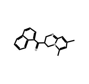 CC1=CC2=NCC(C(=O)c3cccc4ccccc34)CN2C(C)=C1